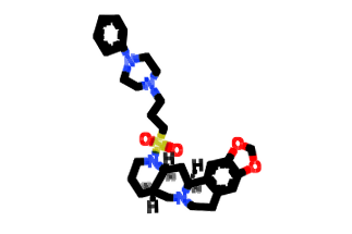 O=S(=O)(CCCN1CCN(c2ccccc2)CC1)N1CCC[C@H]2CN3CCc4cc5c(cc4[C@@H]3C[C@H]21)OCO5